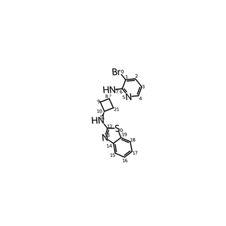 Brc1cccnc1N[C@H]1C[C@H](Nc2nc3ccccc3s2)C1